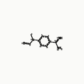 CN([C]=O)c1ccc(C(=N)N)cc1